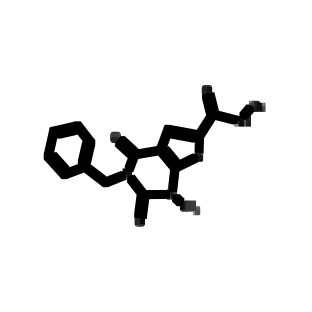 CCC(C)NC(=O)c1cc2c(=O)n(Cc3ccccc3)c(=O)n(C)c2s1